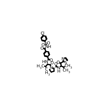 CC(C)C(NC(=O)[C@@H]1CCCN1C(=O)[C@@H](NC(=O)c1ccc(C(=O)NS(=O)(=O)c2ccc(Cl)cc2)cc1)C(C)C)C(=O)c1nccs1